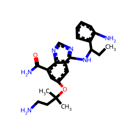 CCC(Nc1ncnc2c(C(N)=O)cc(OC(C)(C)CCN)cc12)c1ccccc1N